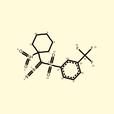 [N-]=[N+]=C(C1([SH](=O)=O)CCCCC1)S(=O)(=O)c1cccc(C(F)(F)F)c1